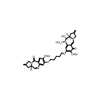 C=C1C[C@H]2[C@H](O)N(C(=O)O)C3=CC(OCCCCCOc4cc5c(cc4OC)C(=O)N4CC(=C)C[C@H]4C=N5)=C(OC)C(=O)C3=CN2C1